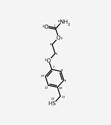 NC(=O)OCCOc1ccc(CS)cc1